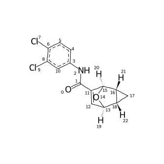 O=C(Nc1ccc(Cl)c(Cl)c1)C1=C[C@H]2O[C@@H]1[C@@H]1C[C@@H]12